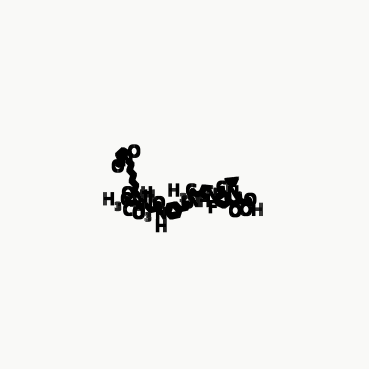 CC(C)C(NC(=O)CCCCCN1C(=O)C=CC1=O)C(=O)NCC(=O)Nc1ccc(CONC(C)C2CCN(c3c(F)cc4c(=O)c(C(=O)O)cn(C5CC5)c4c3Cl)C2)cc1